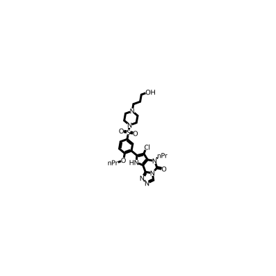 CCCOc1ccc(S(=O)(=O)N2CCN(CCCO)CC2)cc1-c1[nH]c2c(c1Cl)n(CCC)c(=O)n1cnnc21